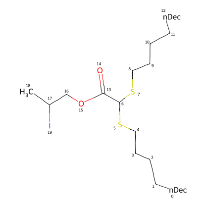 CCCCCCCCCCCCCCSC(SCCCCCCCCCCCCCC)C(=O)OCC(C)I